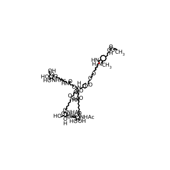 C/C=C\O[PH](=O)OCCCC1CCCC(C(=N)CCC/C=C/COCCOCCC(=O)N2CCC(C(=O)NC(COCCC(=O)NCCCCCCOC3OC(CO)C(O)C(O)C3NC(C)=O)(COCCC(=O)NCCCCCCOC3OC(CO)C(O)C(O)C3NC(C)=O)COCCC(=O)NCCCCCCOC3OC(CO)C(O)C(O)C3NC(C)=O)CC2)/C(=C(/C)N)CC1